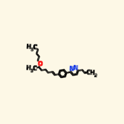 C=CCc1ccc(-c2ccc(C=CCCCC(C)OCCCCC)cc2)nn1